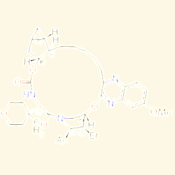 CC[C@@H]1[C@@H]2CN(C(=O)[C@H](C3(C)CCOCC3)NC(=O)O[C@@H]3CC4C[C@@H]4[C@H]3CCCCCc3nc4ccc(OC)cc4nc3O2)[C@@H]1C(C)=O